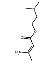 CC(N)=CC(=O)OCCN(C)C